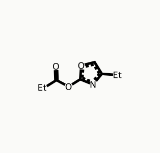 CCC(=O)Oc1nc(CC)co1